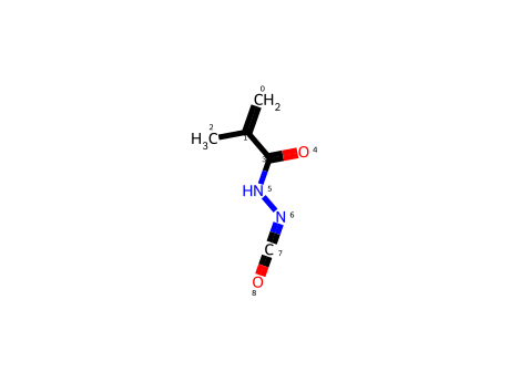 C=C(C)C(=O)NN=C=O